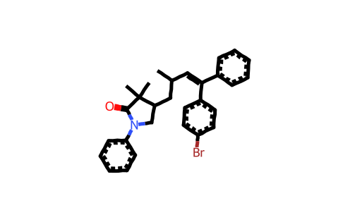 CC(C=C(c1ccccc1)c1ccc(Br)cc1)CC1CN(c2ccccc2)C(=O)C1(C)C